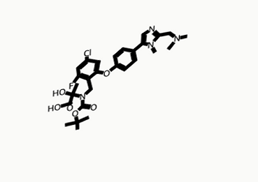 CN(C)Cc1ncc(-c2ccc(Oc3cc(Cl)cc(F)c3CN(C(=O)OC(C)(C)C)C(C)(O)C(=O)O)cc2)n1C